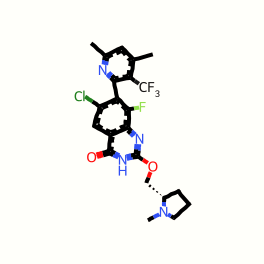 Cc1cc(C)c(C(F)(F)F)c(-c2c(Cl)cc3c(=O)[nH]c(OC[C@@H]4CCCN4C)nc3c2F)n1